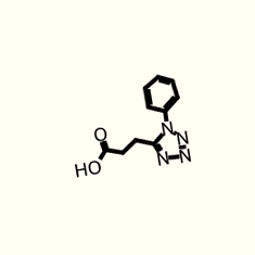 O=C(O)CCc1nnnn1-c1ccccc1